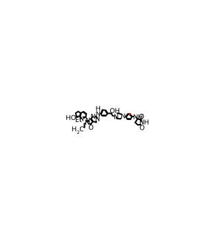 C=CCn1c(=O)c2cnc(Nc3ccc([C@@H](O)CN4CCN(c5ccc(NC6CCC(=O)NC6=O)cc5)CC4)cc3)nc2n1-c1ccc2c(n1)[C@@](O)(CC)CC2